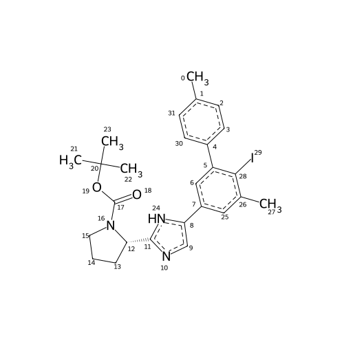 Cc1ccc(-c2cc(-c3cnc([C@@H]4CCCN4C(=O)OC(C)(C)C)[nH]3)cc(C)c2I)cc1